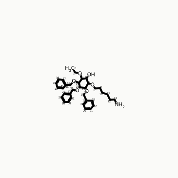 CCOC1C(O)C(OCCCCCCN)C(OCc2ccccc2)C(OCc2ccccc2)C1OCc1ccccc1